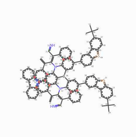 C=C(/C(=C(\C=N)c1ccccc1)N1c2ccc(-c3ccc4sc5ccc(C(C)(C)C)cc5c4c3)cc2B2c3cc(-c4ccc5sc6ccc(C(C)(C)C)cc6c5c4)ccc3N(/C(C(=C)c3ccccc3)=C(/C=N)c3ccccc3)c3cc(-n4c5ccccc5c5ccccc54)cc1c32)c1ccccc1